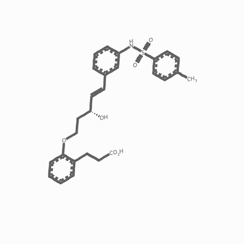 Cc1ccc(S(=O)(=O)Nc2cccc(/C=C/[C@H](O)CCOc3ccccc3CCC(=O)O)c2)cc1